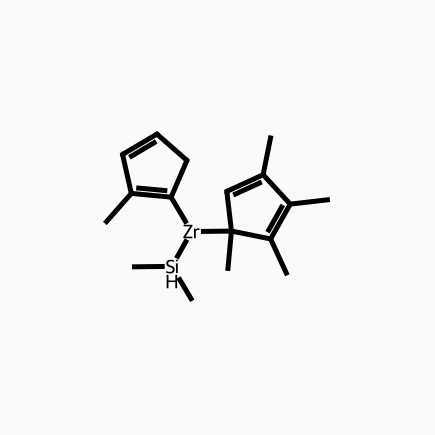 CC1=C[C](C)([Zr]([C]2=C(C)C=CC2)[SiH](C)C)C(C)=C1C